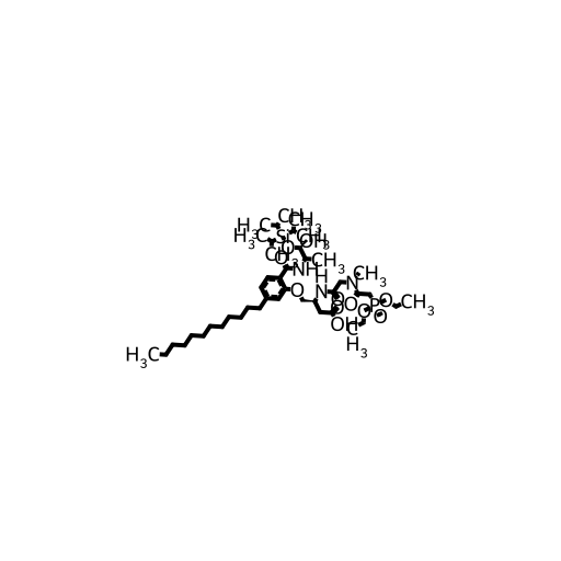 CCCCCCCCCCCCc1ccc(C(=O)NC(C)[C@H](O)O[Si](C(C)C)(C(C)C)C(C)C)c(OC[C@H](CC(=O)O)NC(=O)CN(C)C(=O)CP(=O)(OCC)OCC)c1